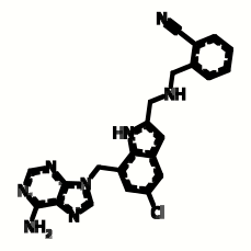 N#Cc1ccccc1CNCc1cc2cc(Cl)cc(Cn3cnc4c(N)ncnc43)c2[nH]1